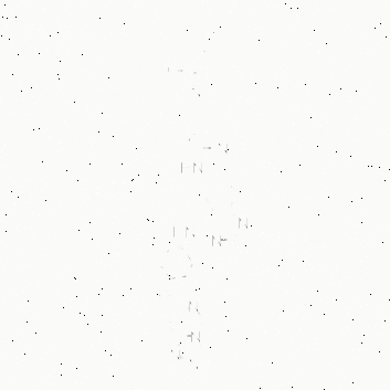 Cc1cc(Nc2ncnc3ccc(NC4=NCC5(CCN(C(=O)C=CC(C)(C)C)CC5)O4)cc23)ccc1Oc1cc2nncn2cn1